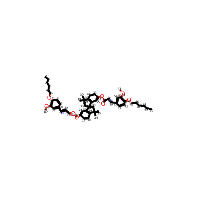 CCCCCCOc1ccc(/C=C/COOc2ccc3c(c2)C2(CC3(C)C)CC(C)(C)c3ccc(OC(=O)/C=C/c4ccc(OCCCCCC)c(OC)c4)cc32)cc1OC